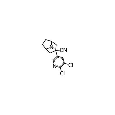 CN1C2CCC1CC(C#N)(c1cnc(Cl)c(Cl)c1)C2